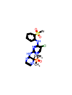 CO[C@@]1(P(C)(C)=O)NC=CN=C1Nc1ncc(Cl)c(Nc2ccccc2S(=O)(=O)C(C)C)n1